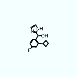 OC(c1ncc[nH]1)c1ccc(F)cc1C1CCC1